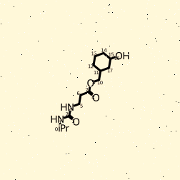 CC(C)NC(=O)NCCC(=O)OCC1CCCC(O)C1